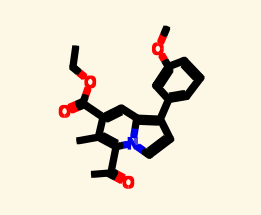 CCOC(=O)c1cc2c(-c3cccc(OC)c3)ccn2c(C(C)=O)c1C